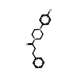 O=C(C[CH]c1ccccc1)N1CCN(c2ccc(Cl)cc2)CC1